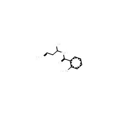 C=CCC(C)NC(=O)c1ccccc1N